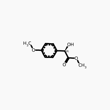 COC(=O)[C@H](O)c1ccc(OC)cc1